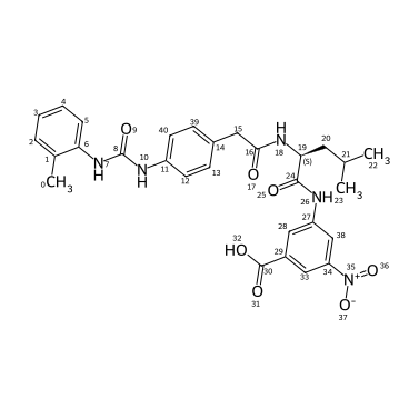 Cc1ccccc1NC(=O)Nc1ccc(CC(=O)N[C@@H](CC(C)C)C(=O)Nc2cc(C(=O)O)cc([N+](=O)[O-])c2)cc1